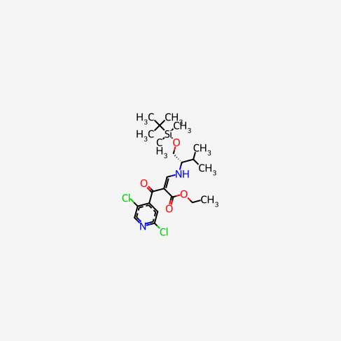 CCOC(=O)/C(=C\N[C@H](CO[Si](C)(C)C(C)(C)C)C(C)C)C(=O)c1cc(Cl)ncc1Cl